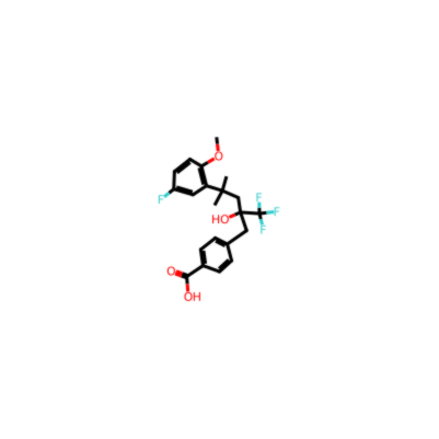 COc1ccc(F)cc1C(C)(C)CC(O)(Cc1ccc(C(=O)O)cc1)C(F)(F)F